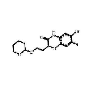 O=C1Nc2cc(Br)c(F)cc2OC1CCOC1CCCCO1